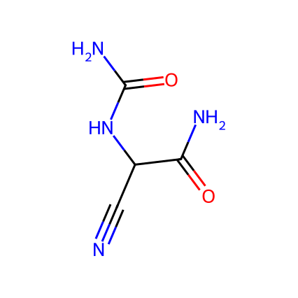 N#CC(NC(N)=O)C(N)=O